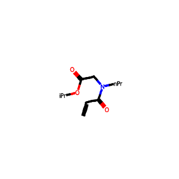 C=CC(=O)N(CCC)CC(=O)OC(C)C